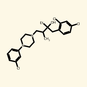 CCC(O)(Cc1ccc(Cl)cc1Cl)C(C)CN1CCN(c2cccc(Cl)c2)CC1